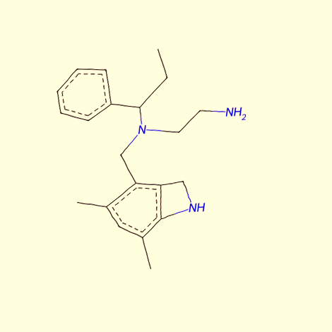 CCC(c1ccccc1)N(CCN)Cc1c(C)cc(C)c2c1CN2